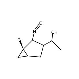 CC(O)C1CC2C[C@@H]2C1N=O